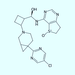 [O-][S+]1CCc2ncnc(N[C@H](O)C3CCC3N3CCC4(c5ncc(Cl)cn5)CC4C3)c21